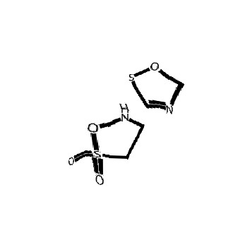 C1=NCOS1.O=S1(=O)CCNO1